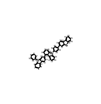 c1ccc(-n2c3ccccc3c3ccc(-c4cccc5c4c4ccccc4n5-c4ccc(-c5ccc6c(c5)sc5ccccc56)cc4)cc32)cc1